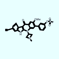 C#Cc1ccc2c(c1)[nH]c1c2c(=O)c2cc(OC)c(-c3cccc(OS(=O)(=O)F)c3)cc2n1C1CN(C)C1